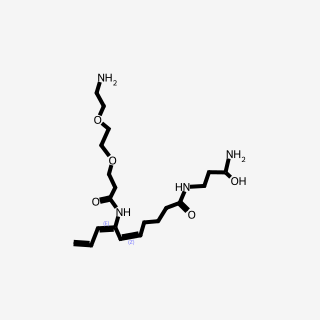 C=C/C=C(\C=C/CCCC(=O)NCCC(N)O)NC(=O)CCOCCOCCN